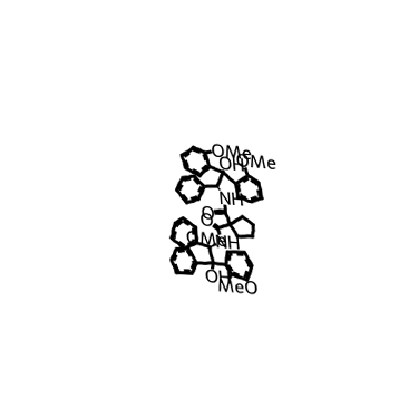 COc1ccccc1C(O)(c1ccccc1OC)[C@H](NC(=O)C1(C(=O)N[C@H](c2ccccc2)C(O)(c2ccccc2OC)c2ccccc2OC)CCCC1)c1ccccc1